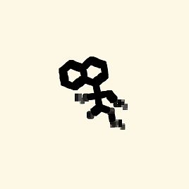 C=CC(C)(C(=O)O[SiH3])c1cccc2ccccc12